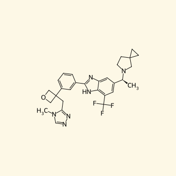 C[C@@H](c1cc(C(F)(F)F)c2[nH]c(-c3cccc(C4(Cc5nncn5C)COC4)c3)nc2c1)N1CCC2(CC2)C1